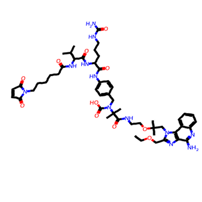 CCOCc1nc2c(N)nc3ccccc3c2n1CC(C)(C)OCCNC(=O)C(C)(C)N(Cc1ccc(NC(=O)C(CCCNC(N)=O)NC(=O)C(NC(=O)CCCCCN2C(=O)C=CC2=O)C(C)C)cc1)C(=O)O